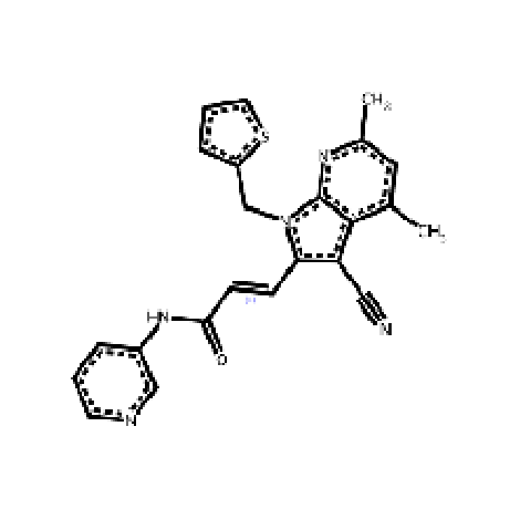 Cc1cc(C)c2c(C#N)c(/C=C/C(=O)Nc3cccnc3)n(Cc3cccs3)c2n1